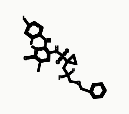 Cc1cc(NS(=O)(=O)C2(CC(F)(F)COCc3ccccc3)CC2)c(Nc2ccc(I)cc2F)n(C)c1=O